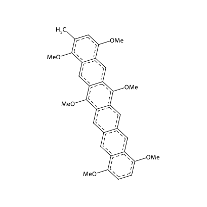 COc1ccc(OC)c2cc3cc4c(OC)c5cc6c(OC)c(C)cc(OC)c6cc5c(OC)c4cc3cc12